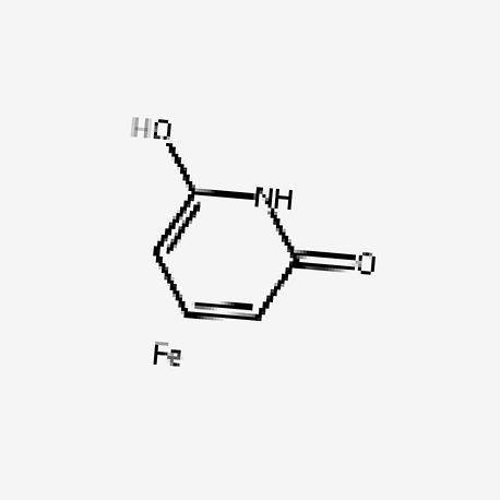 O=c1cccc(O)[nH]1.[Fe]